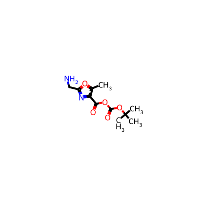 Cc1oc(CN)nc1C(=O)OC(=O)OC(C)(C)C